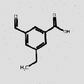 CCc1cc(C=O)cc(C(=O)O)c1